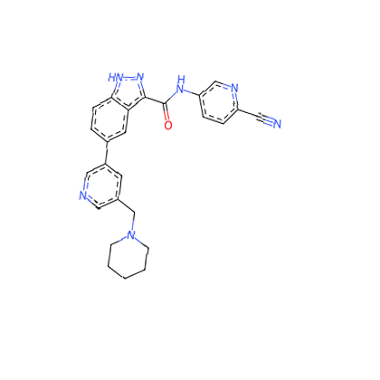 N#Cc1ccc(NC(=O)c2n[nH]c3ccc(-c4cncc(CN5CCCCC5)c4)cc23)cn1